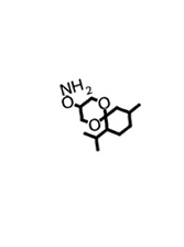 CC1CCC(C(C)C)C2(C1)OCC(ON)CO2